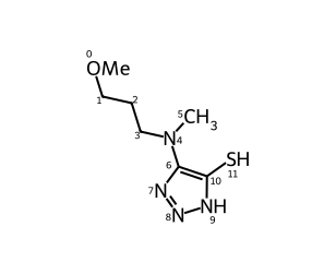 COCCCN(C)c1nn[nH]c1S